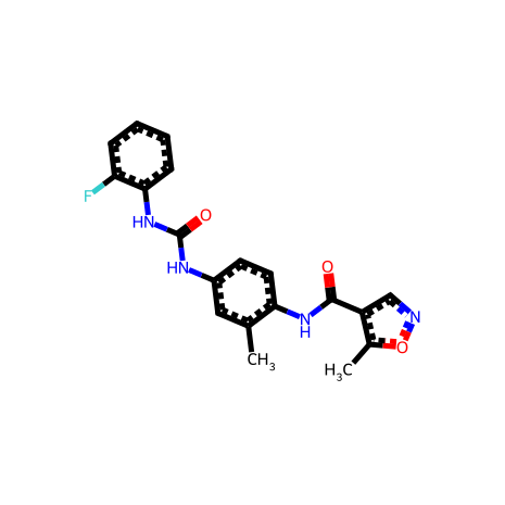 Cc1cc(NC(=O)Nc2ccccc2F)ccc1NC(=O)c1cnoc1C